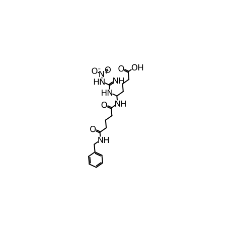 N=C(NC(CCCC(=O)O)NC(=O)CCCC(=O)NCc1ccccc1)N[N+](=O)[O-]